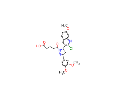 COc1ccc2cc(C3CC(c4ccc(OC)c(OC)c4)=NN3C(=O)CCCC(=O)O)c(Cl)nc2c1